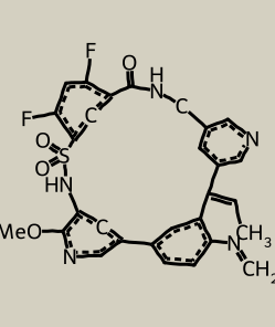 C=Nc1ccc2cc1/C(=C\C)c1cncc(c1)CNC(=O)c1cc(c(F)cc1F)S(=O)(=O)Nc1cc-2cnc1OC